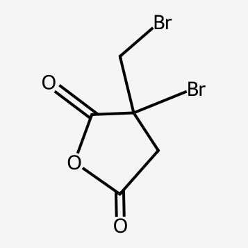 O=C1CC(Br)(CBr)C(=O)O1